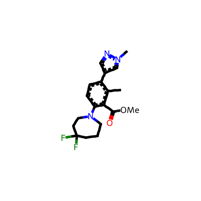 COC(=O)c1c(N2CCCC(F)(F)CC2)ccc(-c2cnn(C)c2)c1C